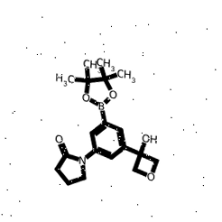 CC1(C)OB(c2cc(N3CCCC3=O)cc(C3(O)COC3)c2)OC1(C)C